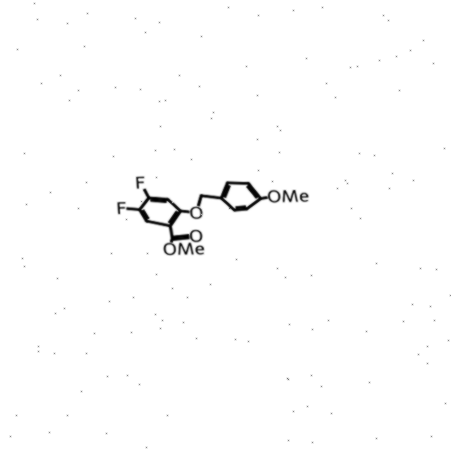 COC(=O)c1cc(F)c(F)cc1OCc1ccc(OC)cc1